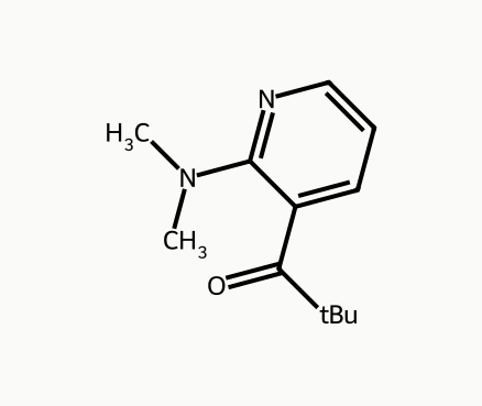 CN(C)c1ncccc1C(=O)C(C)(C)C